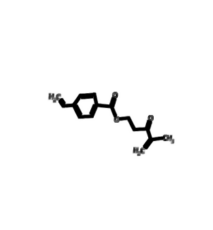 C=Cc1ccc(C(=O)OCCC(=O)C(=C)C)cc1